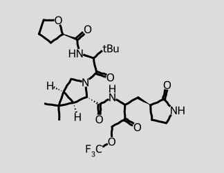 CC(C)(C)C(NC(=O)[C@H]1CCCO1)C(=O)N1C[C@H]2[C@@H]([C@H]1C(=O)NC(C[C@@H]1CCNC1=O)C(=O)COC(F)(F)F)C2(C)C